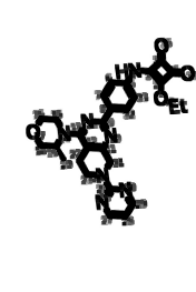 CCOc1c(Nc2ccc(-c3nc4c(c(N5CCOC[C@@H]5C)n3)CCN(c3ncccn3)C4)cc2)c(=O)c1=O